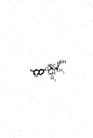 CSC(Oc1ccc2ncc(I)cc2c1)C(=O)NC(C)(C)C=NO